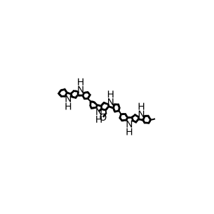 Cc1ccc2c(c1)[nH]c1cc3c(cc12)[nH]c1ccc(-c2ccc4[nH]c5cc6c([nH]c7ccc(-c8ccc9[nH]c%10cc%11c(cc%10c9c8)[nH]c8ccccc8%11)cc76)c(C=O)c5c4c2)cc13